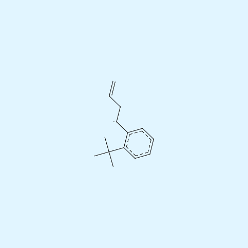 C=CC[CH]c1ccccc1C(C)(C)C